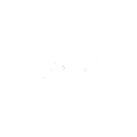 O=C1CCc2c(OCCCN3CCOC(O)C3)ccc(NC(=O)C3CCCCC3)c2N1